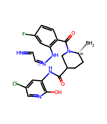 B[C@@H]1CCC(C(=O)Nc2cc(Cl)cnc2O)CN1C(=O)c1ccc(F)cc1N/N=C\C=N